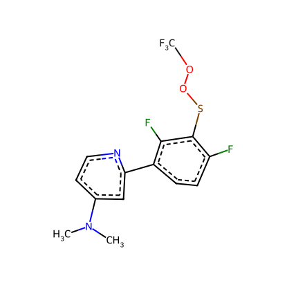 CN(C)c1ccnc(-c2ccc(F)c(SOOC(F)(F)F)c2F)c1